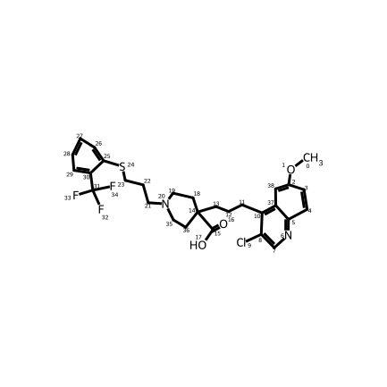 COc1ccc2ncc(Cl)c(CCCC3(C(=O)O)CCN(CCCSc4ccccc4C(F)(F)F)CC3)c2c1